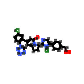 O=c1cc(-c2cc(Cl)ccc2-n2cnnn2)cc2n1[C@H](c1ncc(-c3ccc(CO)cc3)n1Cl)CC2